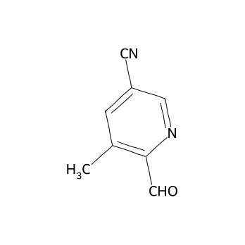 Cc1cc(C#N)cnc1C=O